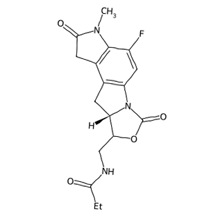 CCC(=O)NCC1OC(=O)N2c3cc(F)c4c(c3C[C@@H]12)CC(=O)N4C